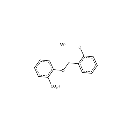 O=C(O)c1ccccc1OCc1ccccc1O.[Mn]